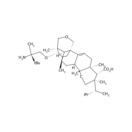 CC(C)[C@@H](C)[C@@]1(C)CC[C@]2(C)[C@H]3CC[C@@H]4[C@@]5(COC[C@]4(C)[C@@H](OC[C@@](C)(N)C(C)(C)C)[C@H](C)C5)C3=CC[C@@]2(C)[C@@H]1C(=O)O